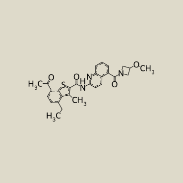 CCc1ccc(C(C)=O)c2sc(C(=O)Nc3ccc4c(C(=O)N5CC(OC)C5)cccc4n3)c(C)c12